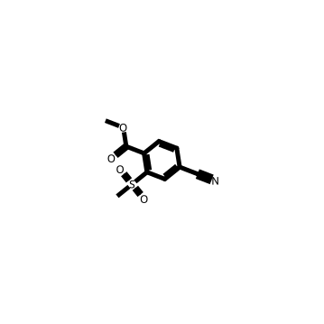 COC(=O)c1ccc(C#N)cc1S(C)(=O)=O